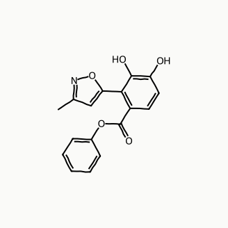 Cc1cc(-c2c(C(=O)Oc3ccccc3)ccc(O)c2O)on1